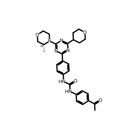 CC(=O)c1ccc(NC(=O)Nc2ccc(-c3nc(C4CCOCC4)nc(N4CCOC[C@H]4C)n3)cc2)cc1